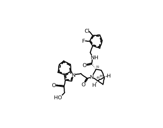 O=C(CO)c1cn(CC(=O)N2[C@@H]3C[C@@H]3C[C@H]2C(=O)NCc2cccc(Cl)c2F)c2ccccc12